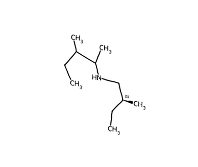 CCC(C)C(C)NC[C@@H](C)CC